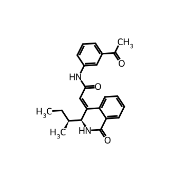 CC[C@H](C)[C@@H]1NC(=O)c2ccccc2C1=CC(=O)Nc1cccc(C(C)=O)c1